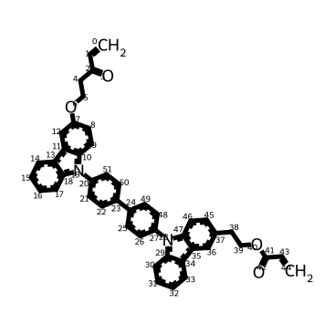 C=CC(=O)CCOc1ccc2c(c1)c1ccccc1n2-c1ccc(-c2ccc(-n3c4ccccc4c4cc(CCOC(=O)C=C)ccc43)cc2)cc1